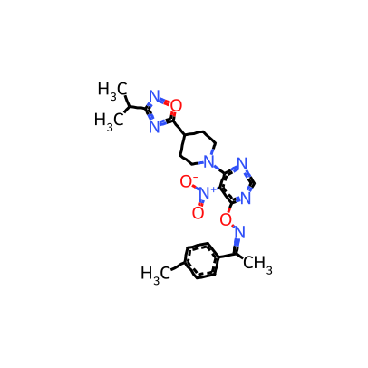 CC(=NOc1ncnc(N2CCC(c3nc(C(C)C)no3)CC2)c1[N+](=O)[O-])c1ccc(C)cc1